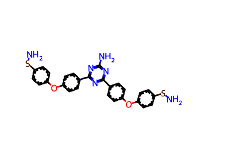 NSc1ccc(Oc2ccc(-c3nc(N)nc(-c4ccc(Oc5ccc(SN)cc5)cc4)n3)cc2)cc1